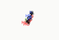 O=C(Nc1ccn([C@H]2O[C@H](CO)[C@@H](O)[C@H]2F)c(=O)n1)c1cccnc1